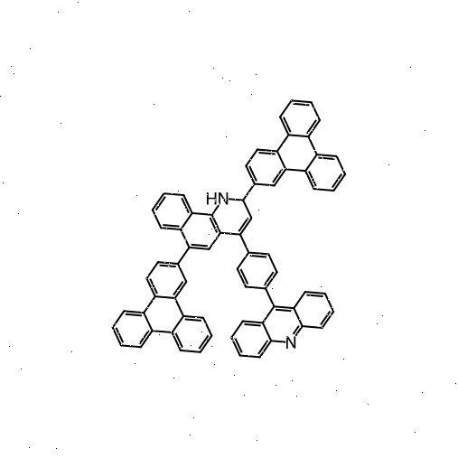 C1=C(c2ccc(-c3c4ccccc4nc4ccccc34)cc2)c2cc(-c3ccc4c5ccccc5c5ccccc5c4c3)c3ccccc3c2NC1c1ccc2c3ccccc3c3ccccc3c2c1